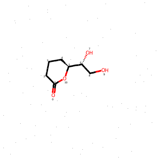 O=C1CCC[C@@H]([C@H](O)CO)O1